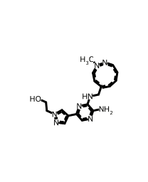 Cn1ccc(CNc2nc(-c3cnn(CCO)c3)cnc2N)ccccn1